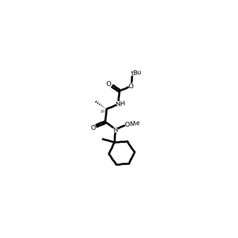 CON(C(=O)[C@H](C)NC(=O)OC(C)(C)C)C1(C)CCCCC1